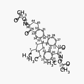 CCCCC1(CCCC)c2cc(C(=O)/C(=N/OC(C)=O)c3ccccc3C)ccc2-c2cc3c(cc21)C(=O)/C(=N/OC(C)=O)CC3